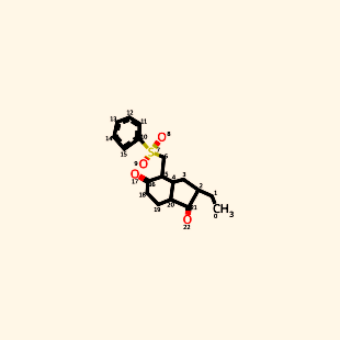 CCC1CC2C(CS(=O)(=O)c3ccccc3)C(=O)CCC2C1=O